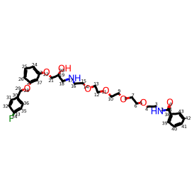 O=C(NCCOCCOCCOCCOCCNCC(O)COc1cccc(OCc2ccc(F)cc2)c1)c1ccccc1